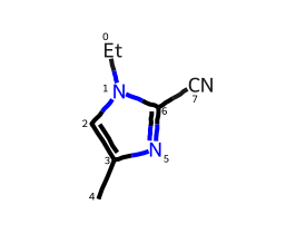 CCn1cc(C)nc1C#N